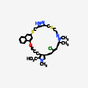 C\C1=C/C=C(Cl)/C=C\c2cn(C)c(C(=O)O)c2CCCOc2cc(cc3ccccc23)SCc2cc(n[nH]2)CSC/C=N/N1C